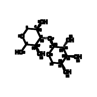 OC1OC[C@@H](O)[C@H](O[C@@H]2OC[C@H](O)[C@H](O)[C@H]2O)[C@H]1O